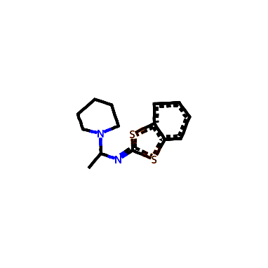 CC(N=c1sc2ccccc2s1)N1CCCCC1